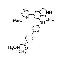 COc1cncc(-c2cc3c(c(Nc4ccc(C5CCN(C(=O)CN(C)C)CC5)cc4)n2)C(C=O)NC=C3)n1